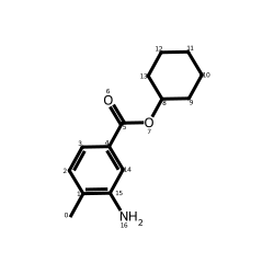 Cc1ccc(C(=O)OC2CCCCC2)cc1N